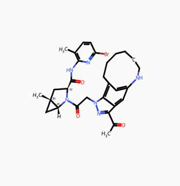 CC(=O)c1nn(CC(=O)N2[C@H](C(=O)Nc3nc(Br)ccc3C)C[C@@]3(C)C[C@@H]23)c2c3cc(cc12)NCCCCCC3